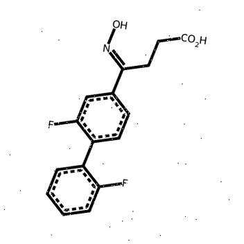 O=C(O)CCC(=NO)c1ccc(-c2ccccc2F)c(F)c1